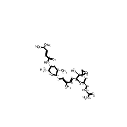 CC(=O)O[C@@H](C)C=CC(=O)N[C@@H]1C[C@H](C)[C@H](CC=C(C)C=C[C@H]2O[C@H](CNC(N)=O)C[C@@]3(CO3)[C@@H]2O)O[C@@H]1C